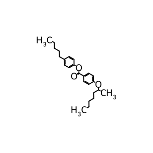 CCCCCc1ccc(OC(=O)c2ccc(OC(C)CCCCC)cc2)cc1